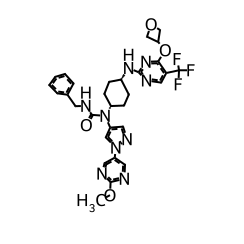 COc1ncc(-n2cc(N(C(=O)NCc3ccccc3)[C@H]3CC[C@H](Nc4ncc(C(F)(F)F)c(OC5COC5)n4)CC3)cn2)cn1